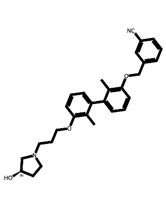 Cc1c(OCCCN2CC[C@@H](O)C2)cccc1-c1cccc(OCc2cccc(C#N)c2)c1C